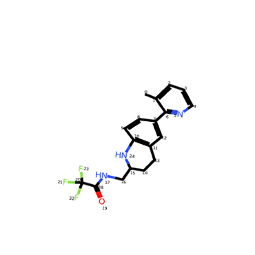 Cc1cccnc1-c1ccc2c(c1)CCC(CNC(=O)C(F)(F)F)N2